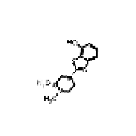 C[C@@H]1C[C@H](c2nc3cccc(O)c3s2)CCN1C